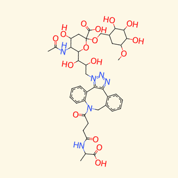 COC1CC(COC2(C(=O)O)CC(O)C(NC(C)=O)C(C(O)C(O)Cn3nnc4c3-c3ccccc3N(C(=O)CCC(=O)NC(C)C(=O)O)Cc3ccccc3-4)O2)C(O)C(O)C1O